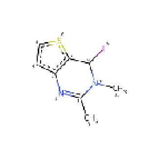 CC1=Nc2ccsc2C(I)N1C